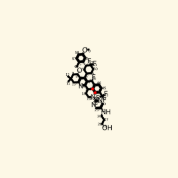 COc1ccc(CO[C@H]2CC(C)(C)Cc3nc(C4CCN(c5ncc(NCCCO)cn5)CC4)c([C@@H](F)c4ccc(C(F)(F)F)cc4)c(C4CCC(F)(F)CC4)c32)cc1